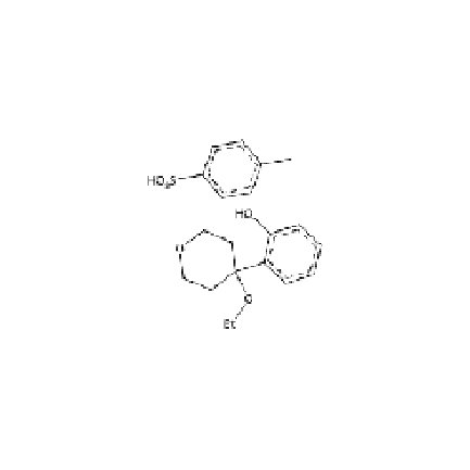 CCOC1(c2ccccc2O)CCOCC1.Cc1ccc(S(=O)(=O)O)cc1